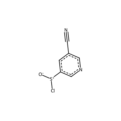 N#Cc1cncc([S+]([O-])Cl)c1